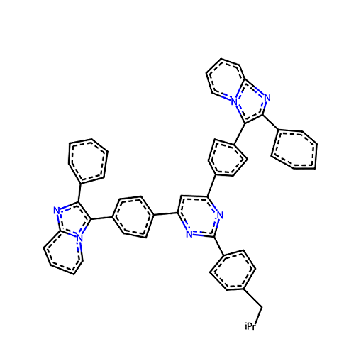 CC(C)Cc1ccc(-c2nc(-c3ccc(-c4c(-c5ccccc5)nc5ccccn45)cc3)cc(-c3ccc(-c4c(-c5ccccc5)nc5ccccn45)cc3)n2)cc1